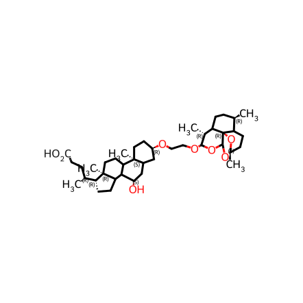 C[C@H]1C(OCCO[C@@H]2CC[C@@]3(C)C(C2)C[C@H](O)C2C3CC[C@@]3(C)C2CC[C@@H]3[C@H](C)CCC(=O)O)OC2O[C@@]3(C)CCC4[C@H](C)CCC1[C@@]24O3